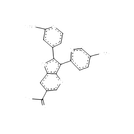 COc1ccc(-c2c(-c3ccnc(NC(C)=O)c3)[nH]c3cc(C(=O)C(F)(F)F)cnc23)nc1